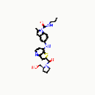 CCCNC(=O)n1c(C)cc2cc(Nc3ccnc4cc(C(=O)N5CCC[C@H]5CO)sc34)ccc21